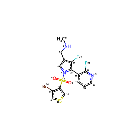 CNCc1cn(S(=O)(=O)c2cscc2Br)c(-c2cccnc2F)c1F